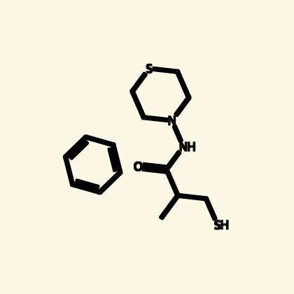 CC(CS)C(=O)NN1CCSCC1.c1ccccc1